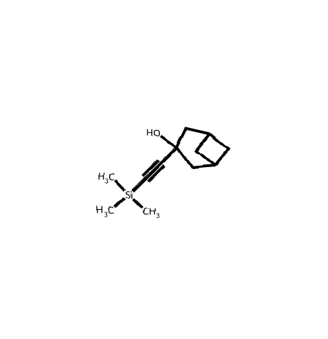 C[Si](C)(C)C#CC1(O)CC2CC(C2)C1